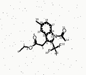 CCOC(=O)Cc1c(C(F)(F)F)n(C(C)=O)c2ccc(C)cc12